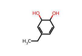 CCC1=CC(O)C(O)C=C1